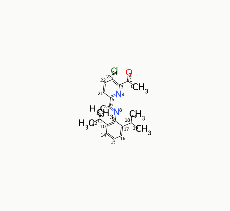 CC(=O)c1nc(C(C)=Nc2c(C(C)C)cccc2C(C)C)ccc1Cl